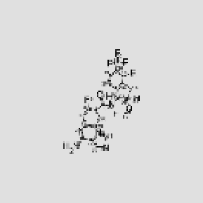 Nc1nc2cc(F)c(C(=O)N3CCO[C@@H]4Cc5c(ccc(C(F)(F)F)c5F)[C@@H]43)cc2n2cncc12